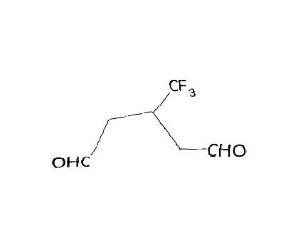 O=CCC(CC=O)C(F)(F)F